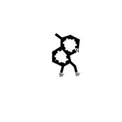 Cc1ccnc2c(CBr)c(Br)ccc12